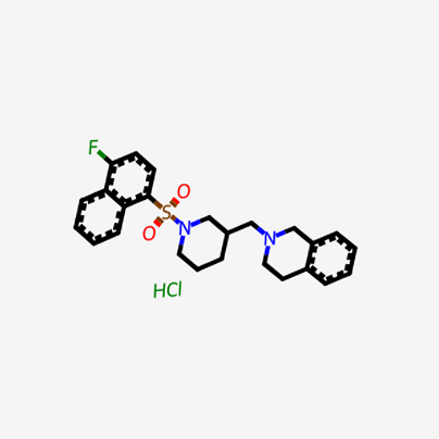 Cl.O=S(=O)(c1ccc(F)c2ccccc12)N1CCCC(CN2CCc3ccccc3C2)C1